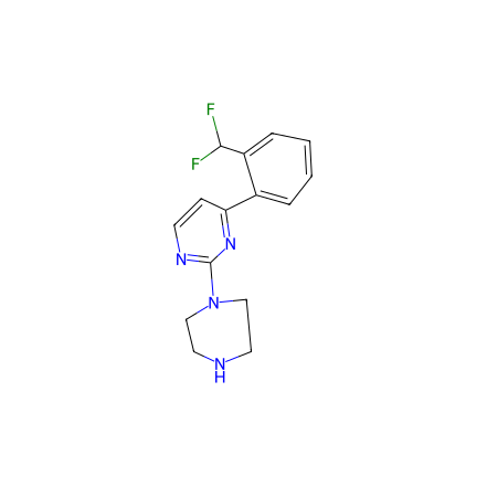 FC(F)c1ccccc1-c1ccnc(N2CCNCC2)n1